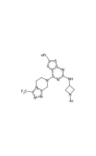 CCCc1cc2c(N3CCn4c(nnc4C(F)(F)F)C3)nc(NC3CN(C(C)=O)C3)nc2s1